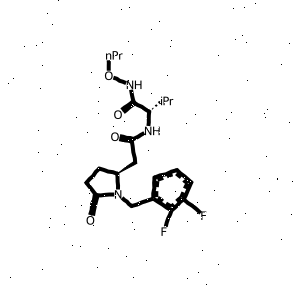 CCCONC(=O)[C@@H](NC(=O)C[C@@H]1CCC(=O)N1Cc1cccc(F)c1F)C(C)C